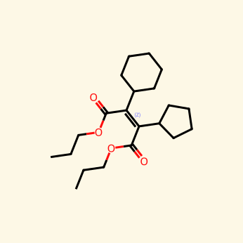 CCCOC(=O)/C(=C(\C(=O)OCCC)C1CCCC1)C1CCCCC1